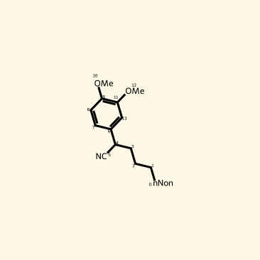 CCCCCCCCCCCCC(C#N)c1ccc(OC)c(OC)c1